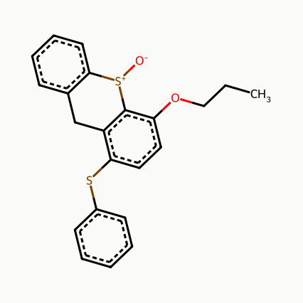 CCCOc1ccc(Sc2ccccc2)c2c1[S+]([O-])c1ccccc1C2